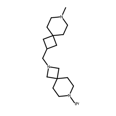 CC(C)N1CCC2(CC1)CN(CC1CC3(CCN(C)CC3)C1)C2